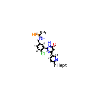 CCCCCCCc1ccc(-c2cc(=O)[nH]c(-c3cc(CNC(=P)C(C)C)ccc3Cl)n2)cn1